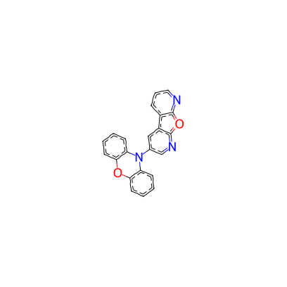 c1ccc2c(c1)Oc1ccccc1N2c1cnc2oc3ncccc3c2c1